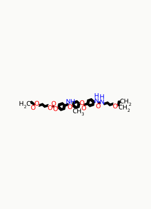 C=CC(=C)OCCCCNC(=O)Nc1ccc(C(=O)Oc2ccc(OC(=N)c3ccc(OC(=O)OCCCCOC(=O)C=C)cc3)c(C)c2)cc1